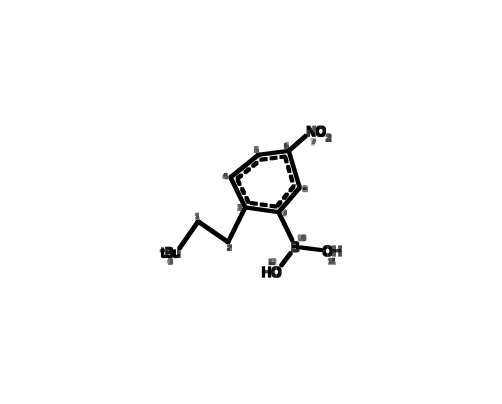 CC(C)(C)CCc1ccc([N+](=O)[O-])cc1B(O)O